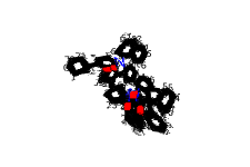 c1ccc(-c2ccc(N(c3ccccc3-c3ccccc3-c3ccc4c5ccccc5n(-c5cccc6c5C(c5ccccc5)(c5ccccc5)c5ccccc5-6)c4c3)c3cccc4ccccc34)cc2)cc1